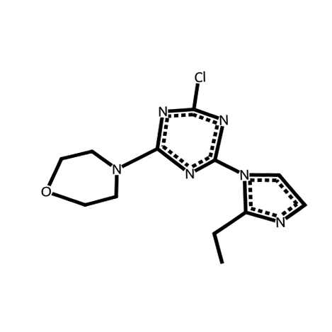 CCc1nccn1-c1nc(Cl)nc(N2CCOCC2)n1